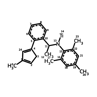 CC1=CCC(c2ccccc2C(C)[N]([Ti])c2c(C)cc(C)cc2C)=C1